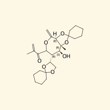 C=C(C)C(=O)C1OC(=C)[C@H]2OC3(CCCCC3)O[C@]2(C)[C@@H](O)[C@@H]1C1COC2(CCCCC2)O1